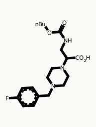 CCCCOC(=O)NCC(C(=O)O)N1CCN(Cc2ccc(F)cc2)CC1